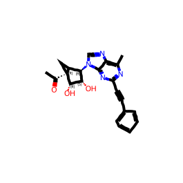 CC(=O)[C@]12CC1[C@@H](n1cnc3c(C)nc(C#Cc4ccccc4)nc31)[C@H](O)[C@@H]2O